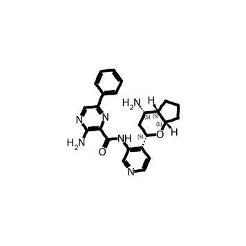 Nc1ncc(-c2ccccc2)nc1C(=O)Nc1cnccc1[C@@H]1C[C@H](N)[C@@H]2CCC[C@@H]2O1